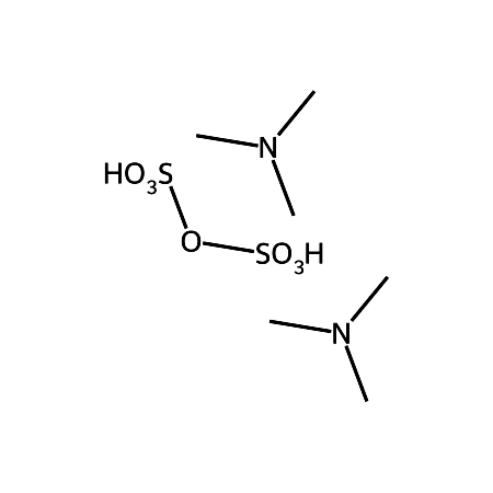 CN(C)C.CN(C)C.O=S(=O)(O)OS(=O)(=O)O